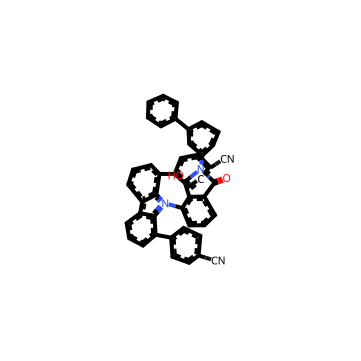 N#Cc1ccc(-c2cccc3c4cccc(-c5ccc(C#N)cc5)c4n(-c4cccc5c4C(O)N(c4cccc(-c6ccccc6)c4)C5=O)c23)cc1